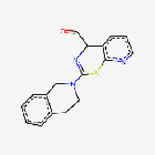 O=CC1N=C(N2CCc3ccccc3C2)Sc2ncccc21